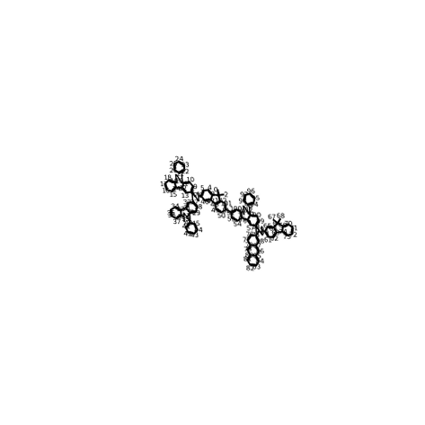 CC1(C)c2ccc(N(c3ccc4c(c3)c3ccccc3n4-c3ccccc3)c3ccc4c(c3)c3ccccc3n4-c3ccccc3)cc2-c2ccc(-c3ccc4c5cc(N(c6ccc7c(c6)C(C)(C)c6ccccc6-7)c6ccc7cc8ccccc8cc7c6)ccc5n(-c5ccccc5)c4c3)cc21